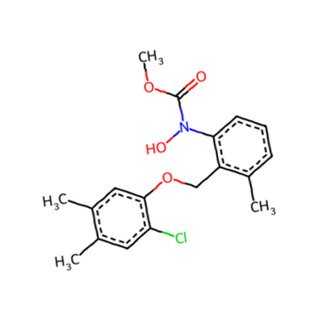 COC(=O)N(O)c1cccc(C)c1COc1cc(C)c(C)cc1Cl